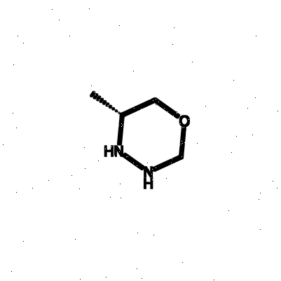 C[C@@H]1COCNN1